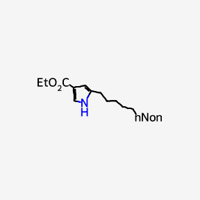 CCCCCCCCCCCCCCc1cc(C(=O)OCC)c[nH]1